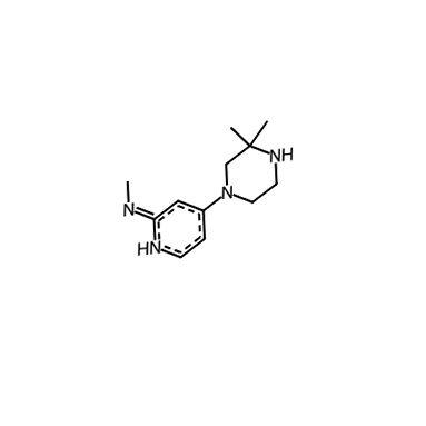 CN=c1cc(N2CCNC(C)(C)C2)cc[nH]1